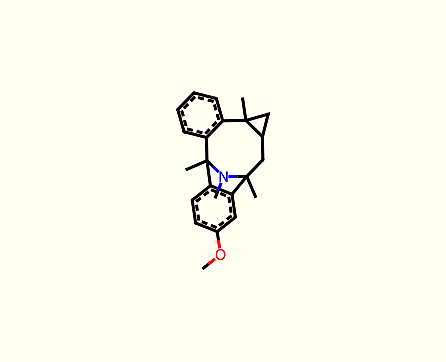 COc1ccc2c(c1)C1(C)CC3CC3(C)c3ccccc3C2(C)N1C